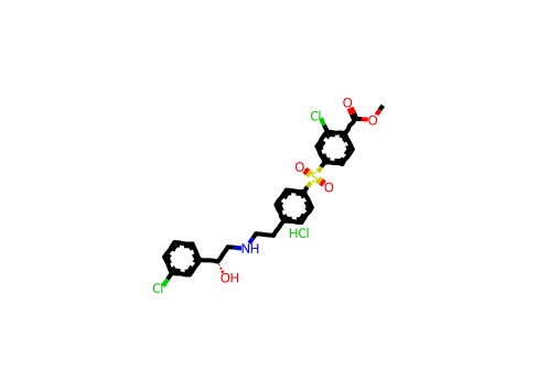 COC(=O)c1ccc(S(=O)(=O)c2ccc(CCNC[C@H](O)c3cccc(Cl)c3)cc2)cc1Cl.Cl